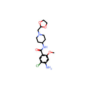 COc1cc(N)c(Cl)cc1C(=O)NC1CCN(CC2OCCO2)CC1